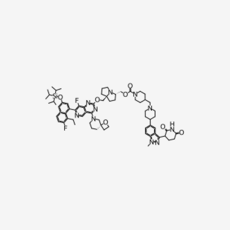 CCc1c(F)ccc2cc(O[Si](C(C)C)(C(C)C)C(C)C)cc(-c3ncc4c(N5CCC[C@]6(CCO6)C5)nc(OC[C@@]56CCCN5[C@H](COC(=O)N5CCC(CN7CCC(c8ccc9c(c8)c(C8CCC(=O)NC8=O)nn9C)CC7)CC5)CC6)nc4c3F)c12